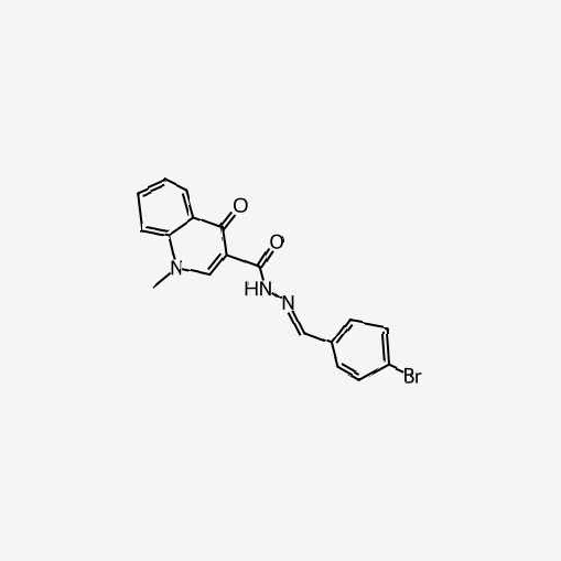 Cn1cc(C(=O)N/N=C/c2ccc(Br)cc2)c(=O)c2ccccc21